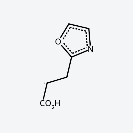 O=C(O)[CH]Cc1ncco1